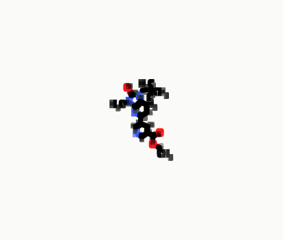 CCOC(=O)c1cncc(-c2ccc3c(n2)n(C)c(=O)n3CC(C)(C)C)c1